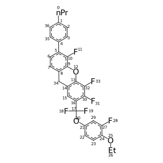 CCCc1ccc(-c2ccc3c(c2F)Oc2c(cc(C(F)(F)Oc4ccc(OCC)c(F)c4)c(F)c2F)C3)cc1